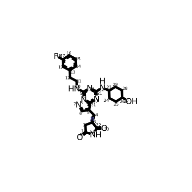 O=C1C/C(=C\c2cnn3c(NCCc4cccc(F)c4)nc(NC4CCC(O)CC4)nc23)C(=O)N1